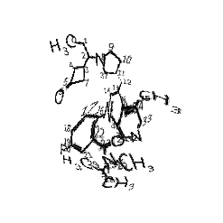 CCC(C1CC(=O)C1)N1CC[C@H](Cc2cn(-c3ccc(F)cc3C(=O)N(C)C(C)C)c3cncc(C)c23)C1